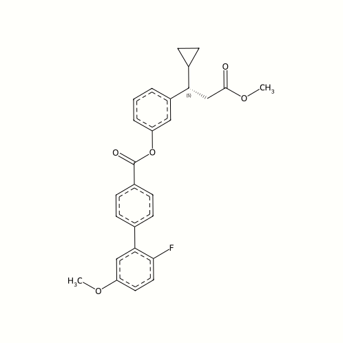 COC(=O)C[C@H](c1cccc(OC(=O)c2ccc(-c3cc(OC)ccc3F)cc2)c1)C1CC1